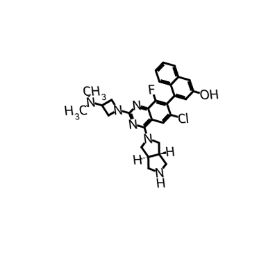 CN(C)C1CN(c2nc(N3C[C@@H]4CNC[C@H]4C3)c3cc(Cl)c(-c4cc(O)cc5ccccc45)c(F)c3n2)C1